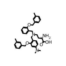 Cc1cccc(COc2ccccc2CN(CC[C@H](N)C(=O)O)Cc2ccc(N(C)C)cc2OCc2cccc(C)c2)c1